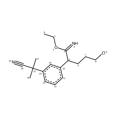 CCOC(=N)C(CCCCl)c1cccc(C(C)(C)C#N)c1